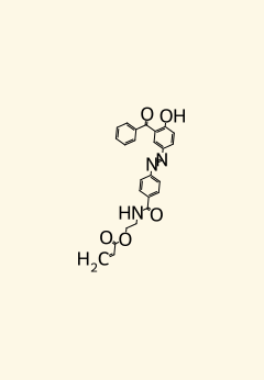 C=CC(=O)OCCNC(=O)c1ccc(/N=N/c2ccc(O)c(C(=O)c3ccccc3)c2)cc1